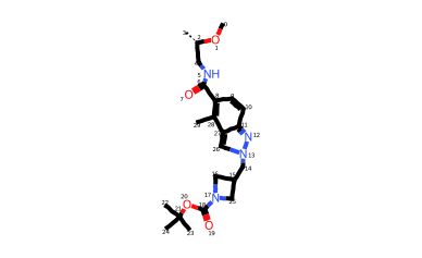 CO[C@@H](C)CNC(=O)c1ccc2nn(CC3CN(C(=O)OC(C)(C)C)C3)cc2c1C